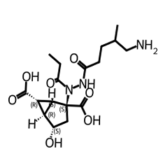 CCC(=O)N(NC(=O)CCC(C)CN)[C@@]1(C(=O)O)C[C@H](O)[C@H]2[C@H](C(=O)O)[C@H]21